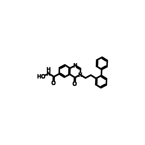 O=C(NO)c1ccc2ncn(CCc3ccccc3-c3ccccc3)c(=O)c2c1